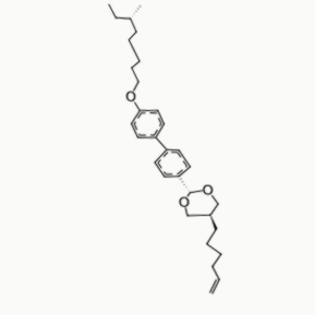 C=CCCCC[C@H]1CO[C@H](c2ccc(-c3ccc(OCCCCC[C@@H](C)CC)cc3)cc2)OC1